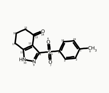 Cc1ccc(S(=O)(=O)c2n[nH]c3c2C(=O)CCC3)cc1